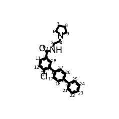 O=C(NCCN1CCCC1)c1ccc(Cl)c(-c2ccc(-c3ccccc3)cc2)c1